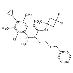 COc1cc([C@@H](C)N(CCOCc2ccccc2)C(=O)NC2(C(=O)O)CC(F)(F)C2)c(Cl)c(OC)c1C1CC1